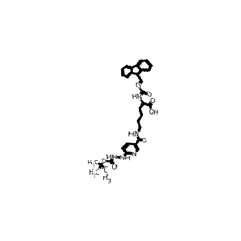 CC(C)(C)OC(=O)NNc1ccc(C(=O)NCCCCC(NC(=O)OCC2c3ccccc3-c3ccccc32)C(=O)O)cn1